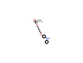 CCC1(COCCCCCCOc2ccc(Nc3ccccc3)cc2)COC1